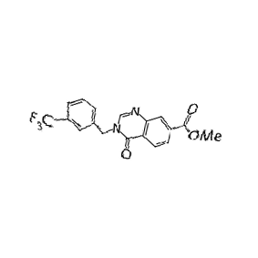 COC(=O)c1ccc2c(=O)n(Cc3cccc(C(F)(F)F)c3)cnc2c1